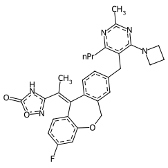 CCCc1nc(C)nc(N2CCC2)c1Cc1ccc2c(c1)COc1cc(F)ccc1C2=C(C)c1noc(=O)[nH]1